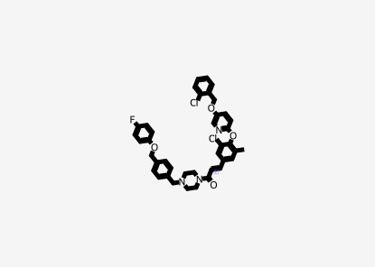 Cc1cc(/C=C/C(=O)N2CCN(Cc3ccc(COc4ccc(F)cc4)cc3)CC2)cc(Cl)c1Oc1ccc(OCc2ccccc2Cl)cn1